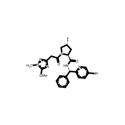 COc1nc(CC(=O)N2C[C@H](F)C[C@H]2C(=O)N[C@@H](c2ccccc2)c2ccc(C(C)C)cn2)nn1C